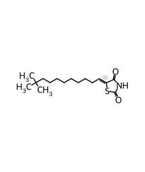 CC(C)(C)CCCCCCCC/C=C1\SC(=O)NC1=O